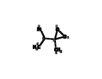 CCC(C)C1(C)OO1